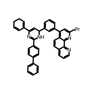 CC(C)c1cc(-c2cccc(C3C=C(C4=CCCC=C4)N=C(c4ccc(-c5ccccc5)cc4)N3)c2)c2ccc3cccnc3c2n1